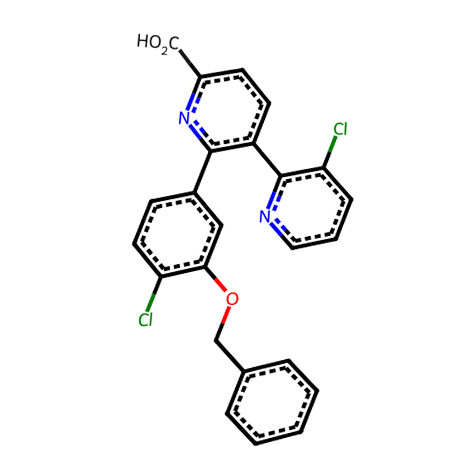 O=C(O)c1ccc(-c2ncccc2Cl)c(-c2ccc(Cl)c(OCc3ccccc3)c2)n1